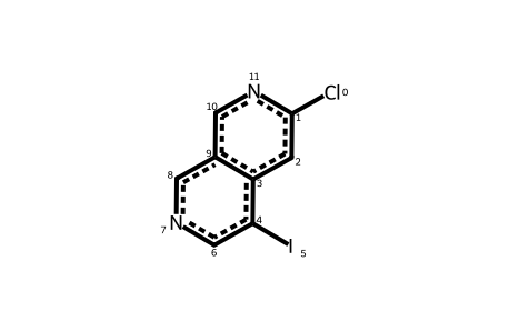 Clc1cc2c(I)cncc2cn1